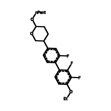 CCCCCOC1CCC(c2ccc(-c3ccc(OCC)c(F)c3F)c(F)c2)CO1